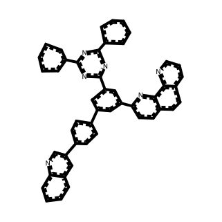 c1ccc(-c2nc(-c3ccccc3)nc(-c3cc(-c4ccc(-c5cnc6ccccc6c5)cc4)cc(-c4ccc5ccc6cccnc6c5n4)c3)n2)cc1